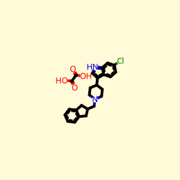 Clc1ccc2c(C3CCN(CC4Cc5ccccc5C4)CC3)c[nH]c2c1.O=C(O)C(=O)O